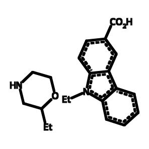 CCC1CNCCO1.CCn1c2ccccc2c2cc(C(=O)O)ccc21